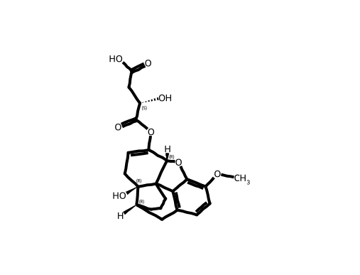 COc1ccc2c3c1O[C@H]1C(OC(=O)[C@@H](O)CC(=O)O)=CC[C@@]4(O)[C@H](CCCC314)C2